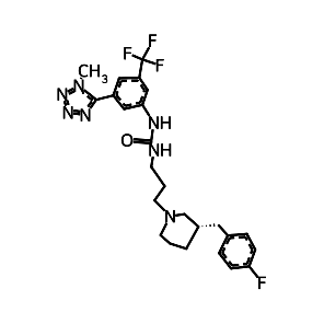 Cn1nnnc1-c1cc(NC(=O)NCCCN2CCC[C@@H](Cc3ccc(F)cc3)C2)cc(C(F)(F)F)c1